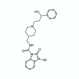 CC(C)n1c(=O)n(C(=O)NCC2CCN(CCC(O)c3ccccc3)CC2)c2ccccc21